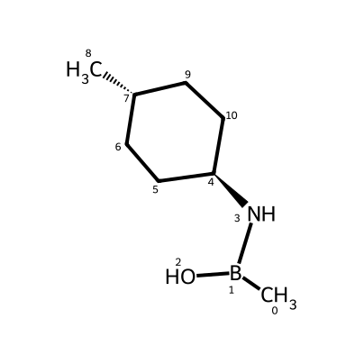 CB(O)N[C@H]1CC[C@H](C)CC1